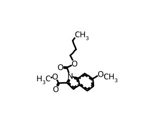 CCCCOC(=O)n1c(C(=O)OC)cc2ccc(OC)cc21